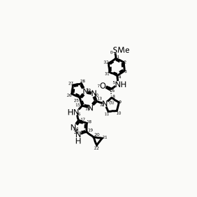 CSc1ccc(NC(=O)[C@@H]2CCCN2c2nc(Nc3cc(C4CC4)[nH]n3)c3cccn3n2)cc1